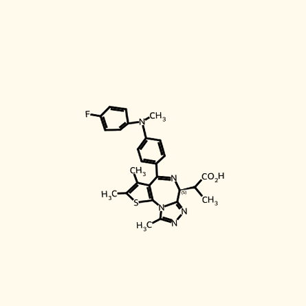 Cc1sc2c(c1C)C(c1ccc(N(C)c3ccc(F)cc3)cc1)=N[C@@H](C(C)C(=O)O)c1nnc(C)n1-2